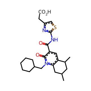 CC1Cc2c(cc(C(=O)Nc3nc(CC(=O)O)cs3)c(=O)n2CC2CCCCC2)C(C)C1